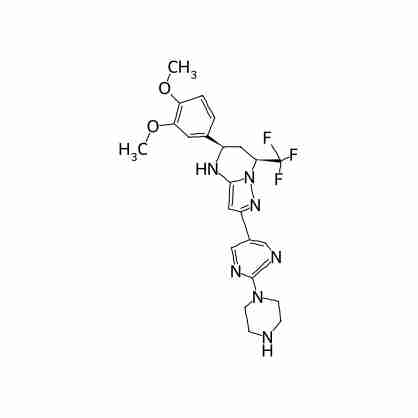 COc1ccc([C@H]2C[C@@H](C(F)(F)F)n3nc(-c4cnc(N5CCNCC5)nc4)cc3N2)cc1OC